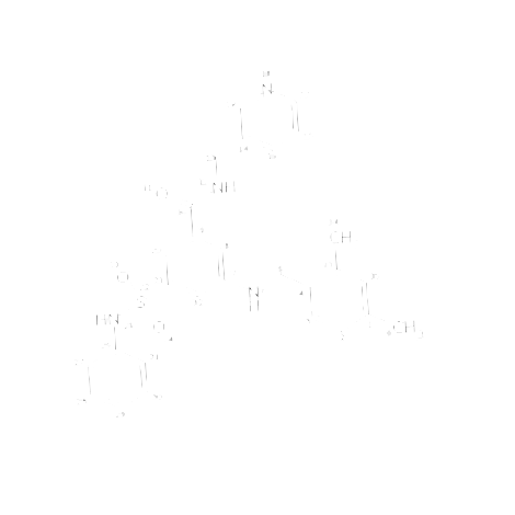 Cc1ccc(CNc2cc(C(=O)NCc3cccnc3)cc(S(=O)(=O)Nc3ccccc3)c2)c(C)c1